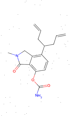 C=CCC(CC=C)c1ccc(OC(N)=O)c2c1CN(C)C2=O